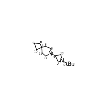 CC(C)(C)N1CC(N2CCC3(CCC3)CC2)C1